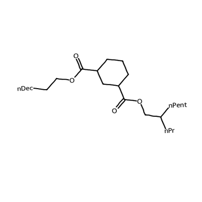 CCCCCCCCCCCCOC(=O)C1CCCC(C(=O)OCC(CCC)CCCCC)C1